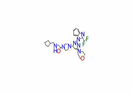 O=C(CNCC1CCCC1)N1CCN(c2cc(N3CCOCC3)nc(-n3c(C(F)F)nc4ccccc43)n2)CC1